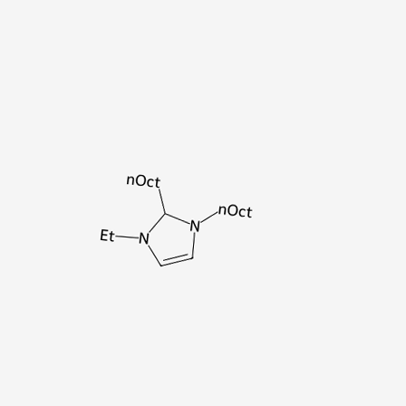 CCCCCCCCC1N(CC)C=CN1CCCCCCCC